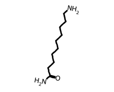 NCCCCCCCCCC(N)=O